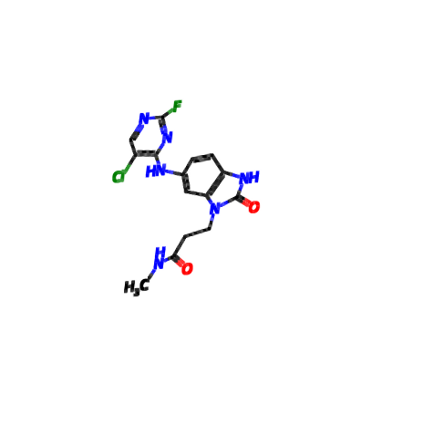 CNC(=O)CCn1c(=O)[nH]c2ccc(Nc3nc(F)ncc3Cl)cc21